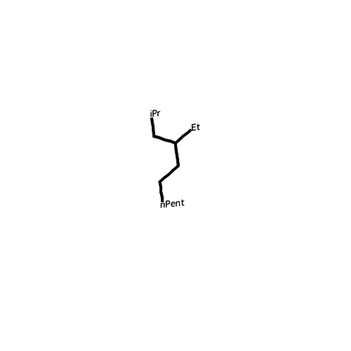 CCCCCCCC(CC)CC(C)C